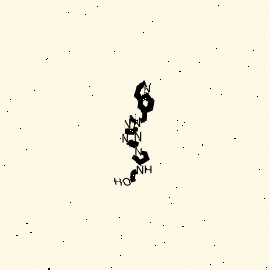 OCCN[C@@H]1CCN(c2cnc3nnn(Cc4ccc5ncccc5c4)c3n2)C1